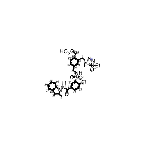 CC[N+]([O-])(CC)/N=N\OCc1cc(CNS(=O)(=O)c2cc(C(=O)NN3c4ccccc4CC3C)ccc2Cl)ccc1CC(=O)O